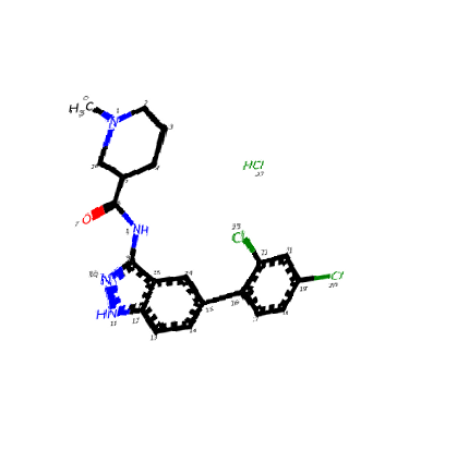 CN1CCCC(C(=O)Nc2n[nH]c3ccc(-c4ccc(Cl)cc4Cl)cc23)C1.Cl